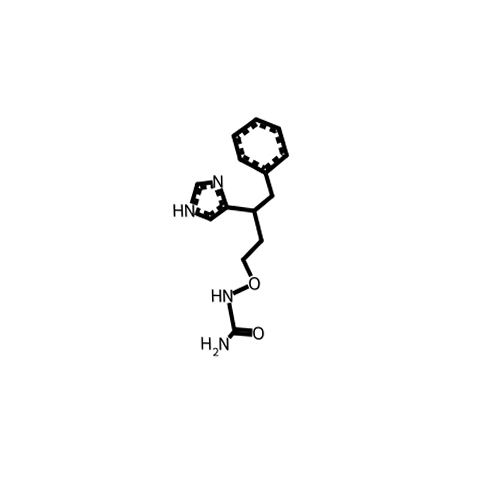 NC(=O)NOCCC(Cc1ccccc1)c1c[nH]cn1